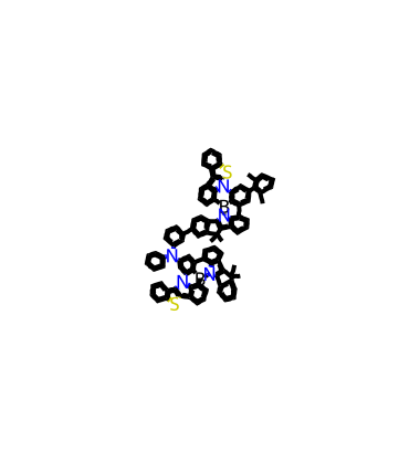 Cc1cccc(C)c1-c1cc2c3c(c1)-n1c4sc5ccccc5c4c4cccc(c41)B3n1c3c(c4cccc-2c41)C(C)(C)c1cc(-c2cccc(N(c4ccccc4)c4cc5c6c(c4)-n4c7c(cccc7c7sc8ccccc8c74)B6n4c6c(c7cccc-5c74)C(C)(C)c4ccccc4-6)c2)ccc1-3